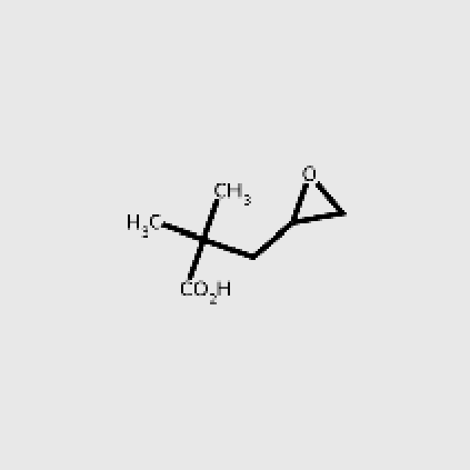 CC(C)(CC1CO1)C(=O)O